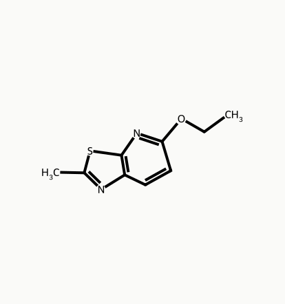 CCOc1ccc2nc(C)sc2n1